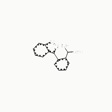 CCCCC(N)c1ccccc1-c1noc2ccccc12